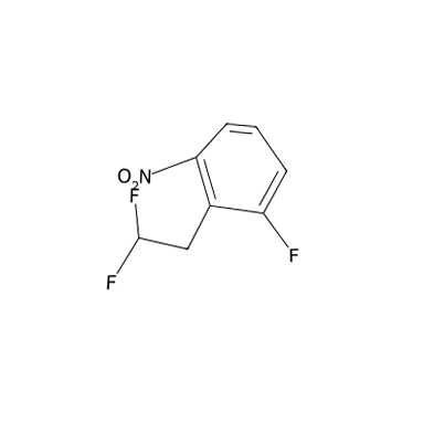 O=[N+]([O-])c1cccc(F)c1CC(F)F